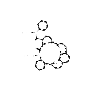 CCCCCCCCN(C(=O)c1ccc2nc1c(=O)n(CCCCCCCC)c1ccccc1c1ccc3ccc4ccc2nc4c3n1)c1ccccc1